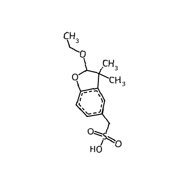 CCOC1Oc2ccc(CS(=O)(=O)O)cc2C1(C)C